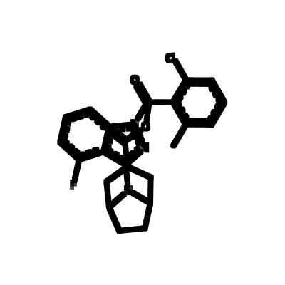 COC(=O)C1CC2CCC(C1)N2c1nn(C(=O)c2c(C)cccc2Cl)c2cccc(F)c12